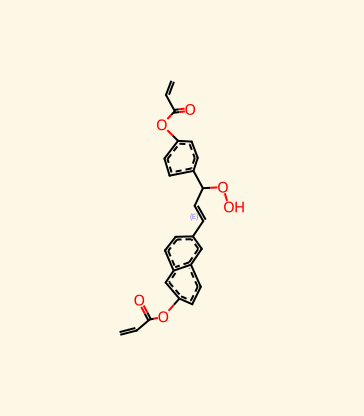 C=CC(=O)Oc1ccc(C(/C=C/c2ccc3cc(OC(=O)C=C)ccc3c2)OO)cc1